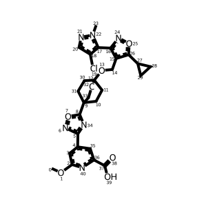 COc1cc(-c2noc(C34CCC(OCc5c(-c6c(Cl)cnn6C)noc5C5CC5)(CC3)CC4)n2)cc(C(=O)O)n1